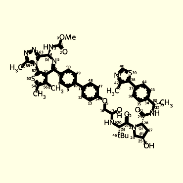 COC(=O)N[C@H]1N=C(c2ccc(-c3ccc(OCC(O)N[C@H](C(=O)N4C[C@H](O)C[C@H]4C(=O)N[C@@H](C)c4ccc(-c5scnc5C)cc4)C(C)(C)C)cc3)cc2)c2c(sc(C)c2C)-n2c(C)nnc21